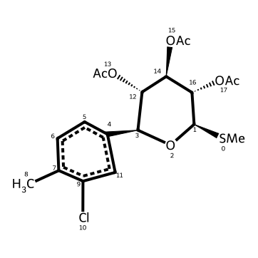 CS[C@H]1O[C@@H](c2ccc(C)c(Cl)c2)[C@H](OC(C)=O)[C@@H](OC(C)=O)[C@@H]1OC(C)=O